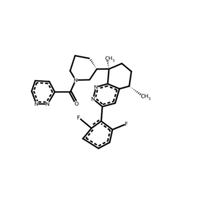 C[C@H]1CC[C@](C)([C@H]2CCCN(C(=O)c3cccnn3)C2)c2nnc(-c3c(F)cccc3F)cc21